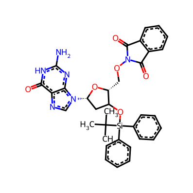 CC(C)(C)[Si](OC1C[C@H](n2cnc3c(=O)[nH]c(N)nc32)O[C@@H]1CON1C(=O)c2ccccc2C1=O)(c1ccccc1)c1ccccc1